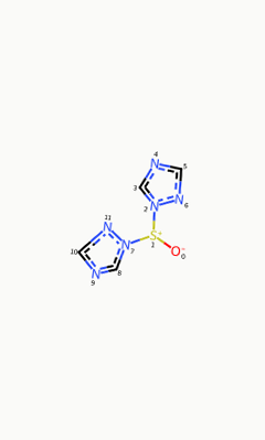 [O-][S+](n1cncn1)n1cncn1